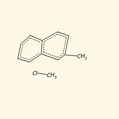 CCl.Cc1ccc2ccccc2c1